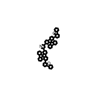 c1ccc2c(c1)-c1ccccc1C21c2cc(-c3cncc(-c4ccc5c(c4)C4(c6ccccc6-c6ccccc64)c4cc(-c6cccc7c6oc6ccccc67)ccc4-5)c3)ccc2-c2ccc(-c3cccc4c3oc3ccccc34)cc21